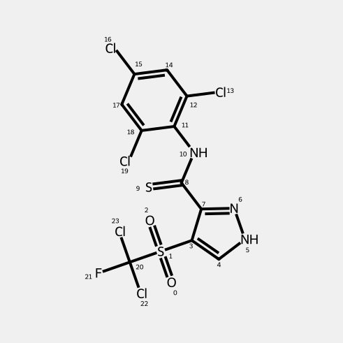 O=S(=O)(c1c[nH]nc1C(=S)Nc1c(Cl)cc(Cl)cc1Cl)C(F)(Cl)Cl